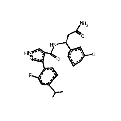 CC(C)c1ccc(-c2n[nH]cc2C(=O)N[C@@H](CC(N)=O)c2cccc(Cl)c2)c(F)c1